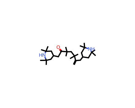 C=C(CC1CC(C)(C)NC(C)(C)C1)C(C)(C)CC(C)(C)C(=O)CC1CC(C)(C)NC(C)(C)C1